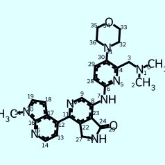 CN(C)Cc1nc(Nc2cnc(-c3ccnc4c3ccn4C)c3c2C(=O)NC3)ccc1N1CCOCC1